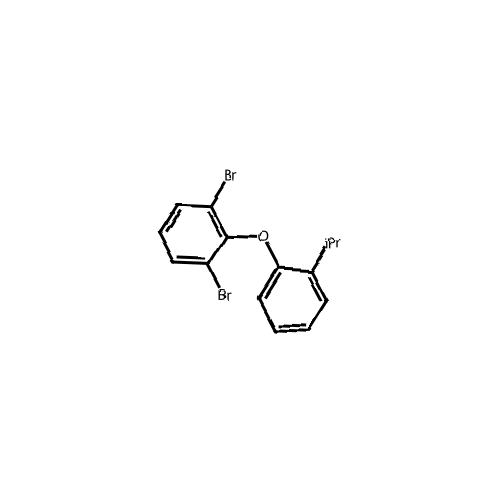 CC(C)c1ccccc1Oc1c(Br)cccc1Br